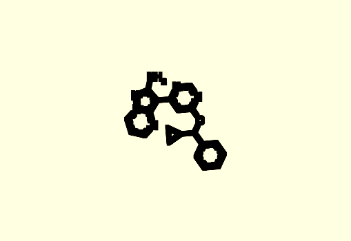 Nc1nn2cccnc2c1-c1cc(OC(c2ccccc2)C2CC2)ncn1